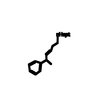 CCCCCCCCC/C=C/C(C)c1ccccc1